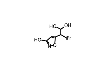 CC(C)C(c1cc(O)no1)C(O)O